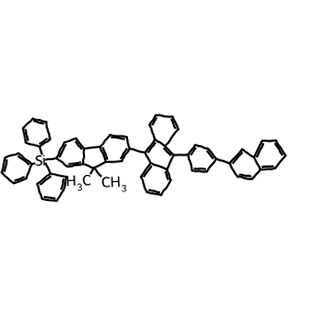 CC1(C)c2cc(-c3c4ccccc4c(-c4ccc(-c5ccc6ccccc6c5)cc4)c4ccccc34)ccc2-c2ccc([Si](c3ccccc3)(c3ccccc3)c3ccccc3)cc21